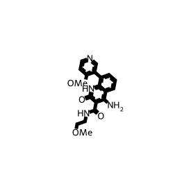 COCCNC(=O)c1c(N)c2cccc(-c3cnccc3OC)c2[nH]c1=O